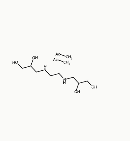 CC(C)=O.CC(C)=O.OCC(O)CNCCNCC(O)CO